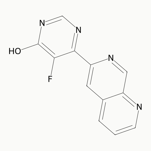 Oc1ncnc(-c2cc3cccnc3cn2)c1F